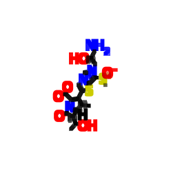 CC(O)[C@H]1C(=O)N2C(C(=O)[O-])=C(c3c[n+]4cn(C[C@H](O)CN)c([S+](C)[O-])c4s3)[C@@H](C)[C@H]12